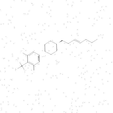 CCC/C=C/CC[C@H]1CC[C@H](c2cc(F)c(C(F)(F)F)c(F)c2)CC1